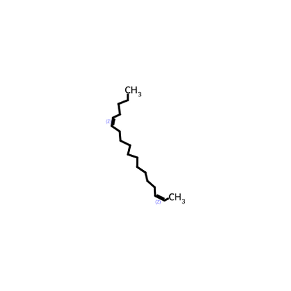 C/C=C\CCCCCCCCC/C=C\CCCC